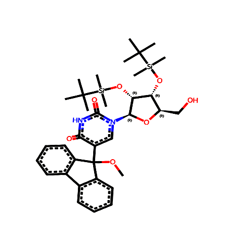 COC1(c2cn([C@@H]3O[C@H](CO)[C@@H](O[Si](C)(C)C(C)(C)C)[C@H]3O[Si](C)(C)C(C)(C)C)c(=O)[nH]c2=O)c2ccccc2-c2ccccc21